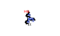 CCc1cccc(CN(Cc2cccc(CO)n2)Cc2ncc[nH]2)n1